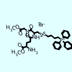 COC(=O)CNC(=O)C(CSSCCCC[P+](c1ccccc1)(c1ccccc1)c1ccccc1)NC(=O)CCC(N)C(=O)OC.[Br-]